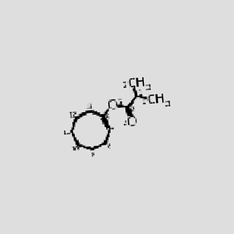 CC(C)C(=O)O/C1=C/CCCCCC1